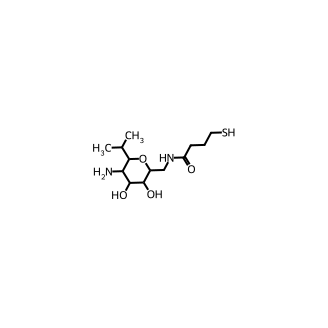 CC(C)C1OC(CNC(=O)CCCS)C(O)C(O)C1N